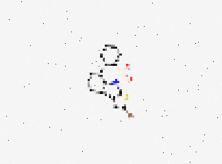 O=S1(=O)c2ccccc2-c2cccc3c4cc(Br)sc4n1c23